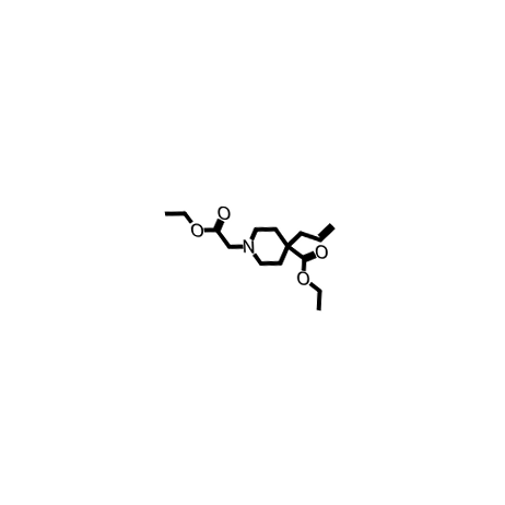 C=CCC1(C(=O)OCC)CCN(CC(=O)OCC)CC1